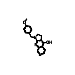 COc1ccc(CN2CCc3c2nc2cnccc2c3O)cc1